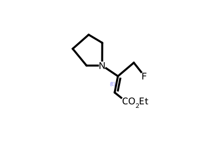 CCOC(=O)/C=C(\CF)N1CCCC1